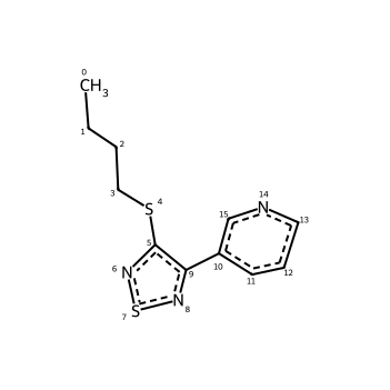 CCCCSc1nsnc1-c1cccnc1